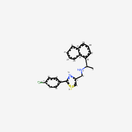 CC(NCc1csc(-c2ccc(Cl)cc2)n1)c1cccc2ccccc12